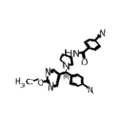 CCOc1ncc([C@@H](c2ccc(C#N)cc2)N2CCC(NC(=O)c3ccc(C#N)cc3)C2)cn1